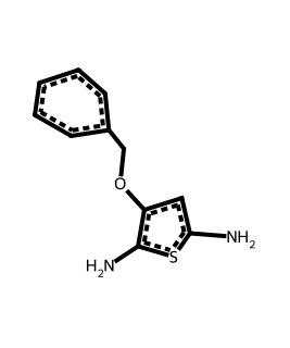 Nc1cc(OCc2ccccc2)c(N)s1